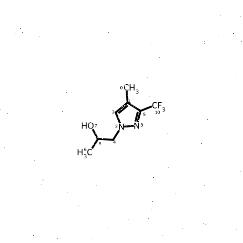 Cc1cn(CC(C)O)nc1C(F)(F)F